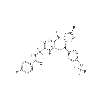 CN1C(=O)[C@H](NC(=O)C(C)(C)NC(=O)c2ccc(F)cc2)CN(c2ccc(OC(F)(F)F)cc2)c2ccc(F)cc21